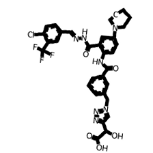 O=C(Nc1ccc(N2CCCCC2)cc1C(=O)N/N=C/c1ccc(Cl)c(C(F)(F)F)c1)c1cccc(Cn2cc(C(O)C(=O)O)nn2)c1